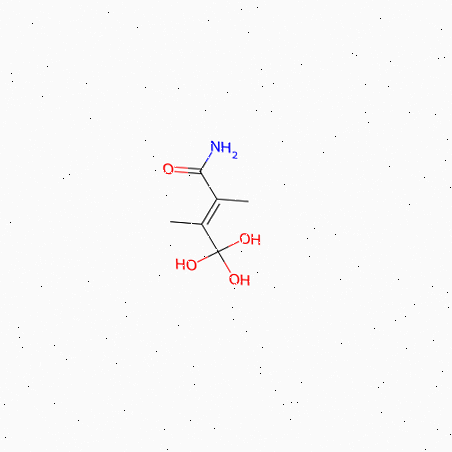 C/C(C(N)=O)=C(/C)C(O)(O)O